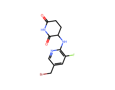 O=C1CCC(Nc2ncc(CBr)cc2F)C(=O)N1